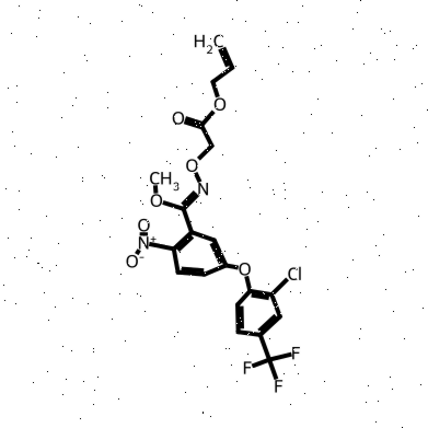 C=CCOC(=O)CON=C(OC)c1cc(Oc2ccc(C(F)(F)F)cc2Cl)ccc1[N+](=O)[O-]